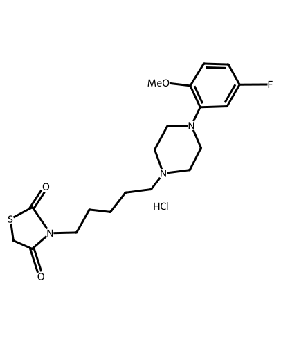 COc1ccc(F)cc1N1CCN(CCCCCN2C(=O)CSC2=O)CC1.Cl